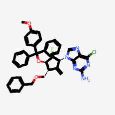 C=C1[C@@H](n2cnc3c(Cl)nc(N)nc32)C(F)[C@H](OC(c2ccccc2)(c2ccccc2)c2ccc(OC)cc2)[C@H]1COCc1ccccc1